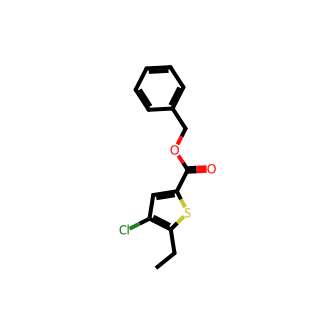 CCc1sc(C(=O)OCc2ccccc2)cc1Cl